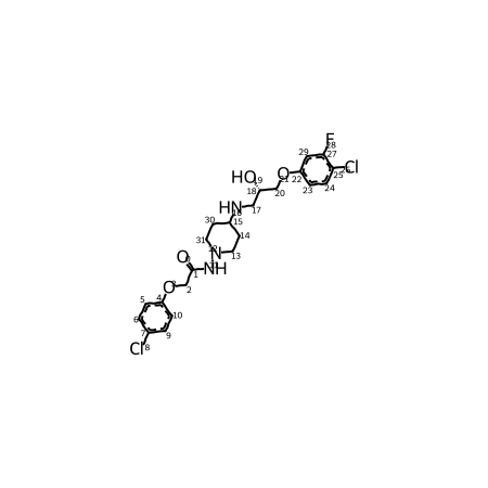 O=C(COc1ccc(Cl)cc1)NN1CCC(NC[C@H](O)COc2ccc(Cl)c(F)c2)CC1